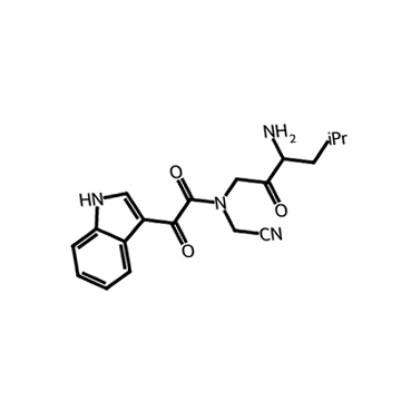 CC(C)CC(N)C(=O)CN(CC#N)C(=O)C(=O)c1c[nH]c2ccccc12